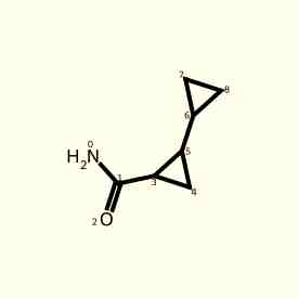 NC(=O)C1CC1C1CC1